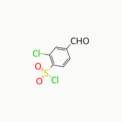 O=Cc1ccc(S(=O)(=O)Cl)c(Cl)c1